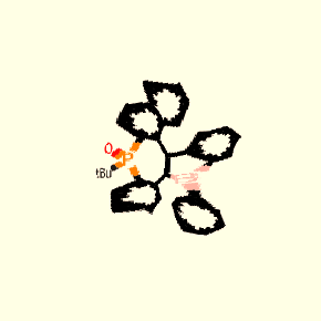 CC(C)(C)P1(=O)c2ccccc2C2=C(c3ccccc3B2c2ccccc2)c2c1ccc1ccccc21